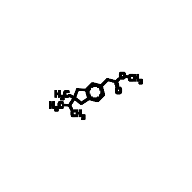 COC(=O)Cc1ccc2c(c1)CC(C)(C(C)C)C2